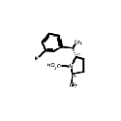 CCC[C@@H]1CC[C@@H](C(O)c2cccc(F)c2)N1C(=O)O